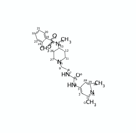 Cc1cc(NC(=O)NCCN2CCC(N(C)S(=O)(=O)c3ccccc3C)CC2)cc(C)n1